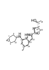 Cc1cc(NC2CCOCC2)c2[nH]c(C3=N[C@H](C(C)O)CO3)cc2c1